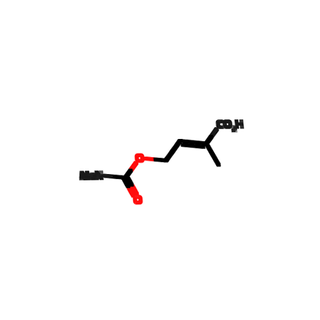 CNC(=O)OCC=C(C)C(=O)O